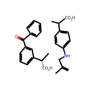 C=C(C)CNc1ccc(C(C)C(=O)O)cc1.C[C@H](C(=O)O)c1cccc(C(=O)c2ccccc2)c1